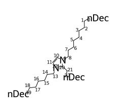 CCCCCCCCCCCCCCCCCCN1C=CN(CCCCCCCCCCCCCCCC)C1CCCCCCCCCCC